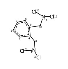 ClN(Cl)Cc1ccccc1CN(Cl)Cl